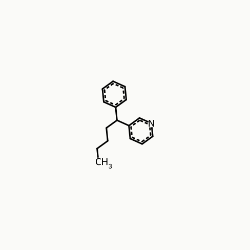 CCCCC(c1ccccc1)c1cccnc1